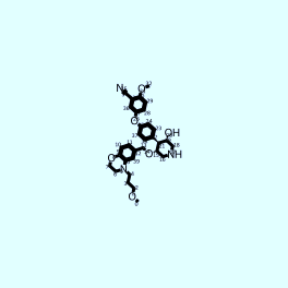 COCCCN1CCOc2ccc(CO[C@H]3CNC[C@@H](O)[C@@H]3c3ccc(Oc4ccc(OC)c(C#N)c4)cc3)cc21